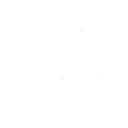 O=C(O)C1CCCN(CC/C=C(/c2ccccc2)c2cccnc2)C1